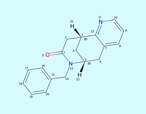 O=C1C[C@H]2C[C@H](Cc3cccnc32)N1Cc1ccccc1